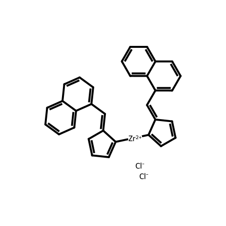 C1=CC(=Cc2cccc3ccccc23)[C]([Zr+2][C]2=CC=CC2=Cc2cccc3ccccc23)=C1.[Cl-].[Cl-]